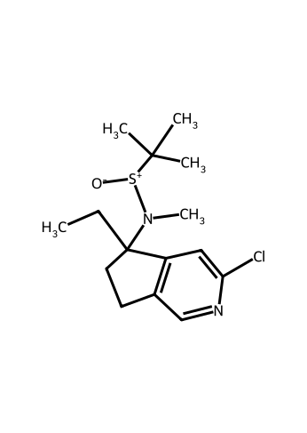 CCC1(N(C)[S+]([O-])C(C)(C)C)CCc2cnc(Cl)cc21